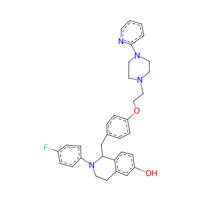 Oc1ccc2c(c1)CCN(c1ccc(F)cc1)C2Cc1ccc(OCCN2CCN(c3ccccn3)CC2)cc1